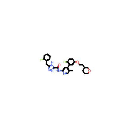 Cc1cnc(NC(=O)c2nnc(Cc3ccccc3F)[nH]2)cc1-c1cc(OCCC2CCCOC2)ccc1F